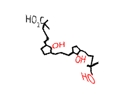 CC(C)(CO)CCCC1CCC(CCCC2CCC(CCCC(C)(C)C(=O)O)C2O)C1O